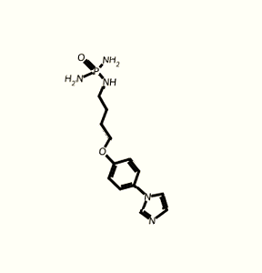 NP(N)(=O)NCCCCOc1ccc(-n2ccnc2)cc1